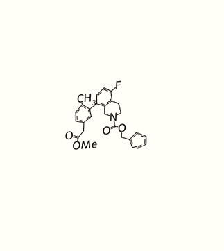 COC(=O)Cc1ccc(C)c(-c2ccc(F)c3c2CN(C(=O)OCc2ccccc2)CC3)c1